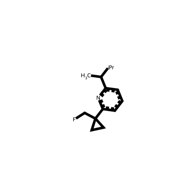 CC(C)C(C)c1cccc(C2(CF)CC2)n1